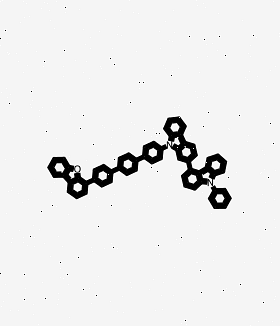 c1ccc(-n2c3ccccc3c3c(-c4ccc5c6ccccc6n(-c6ccc(-c7ccc(-c8ccc(-c9cccc%10c9oc9ccccc9%10)cc8)cc7)cc6)c5c4)cccc32)cc1